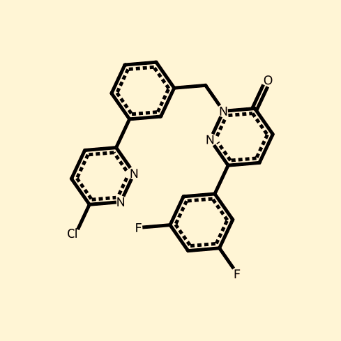 O=c1ccc(-c2cc(F)cc(F)c2)nn1Cc1cccc(-c2ccc(Cl)nn2)c1